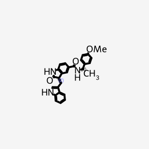 COc1ccc([C@@H](C)NC(=O)c2ccc3c(c2)/C(=C/c2c[nH]c4ccccc24)C(=O)N3)cc1